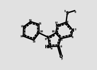 CSc1ncc2c(=O)[nH]n(-c3ccccc3)c2n1